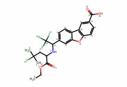 CCOC(=O)C(CC(C)(C)F)NC(c1ccc2c(c1)oc1ccc(C(=O)O)cc12)C(F)(F)F